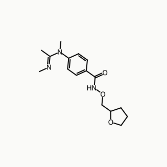 CN=C(C)N(C)c1ccc(C(=O)NOCC2CCCO2)cc1